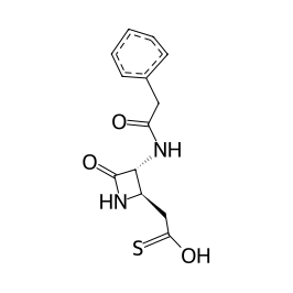 O=C(Cc1ccccc1)N[C@H]1C(=O)N[C@@H]1CC(O)=S